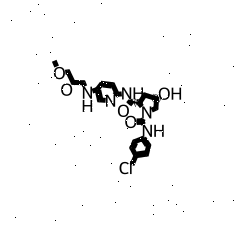 COCC(=O)CNc1ccc(NC(=O)[C@H]2C[C@@H](O)CN2C(=O)Nc2ccc(Cl)cc2)nc1